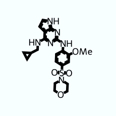 COc1cc(S(=O)(=O)N2CCOCC2)ccc1Nc1nc(NCC2CC2)c2cc[nH]c2n1